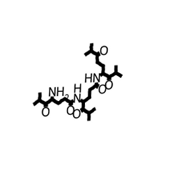 CC(C)C(=O)CCC(NC(=O)CCC(NC(=O)CCC(N)C(=O)C(C)C)C(=O)C(C)C)C(=O)C(C)C